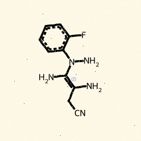 N#CC/C(N)=C(\N)N(N)c1ccccc1F